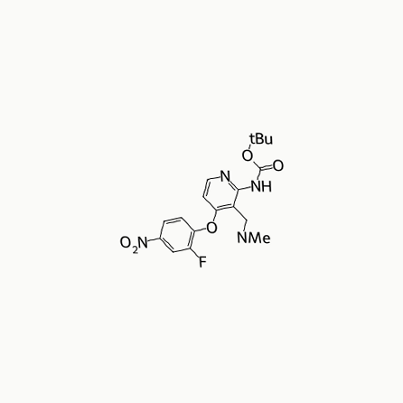 CNCc1c(Oc2ccc([N+](=O)[O-])cc2F)ccnc1NC(=O)OC(C)(C)C